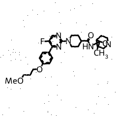 COCCCOc1ccc(-c2nc(N3CCC(C(=O)NC4(C)CN5CCC4CC5)CC3)ncc2F)cc1